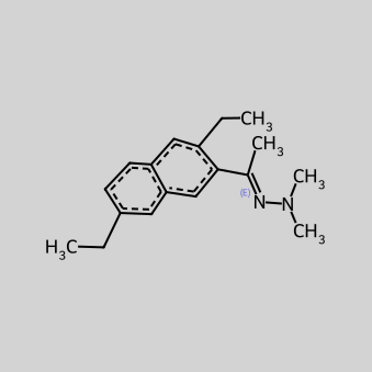 CCc1ccc2cc(CC)c(/C(C)=N/N(C)C)cc2c1